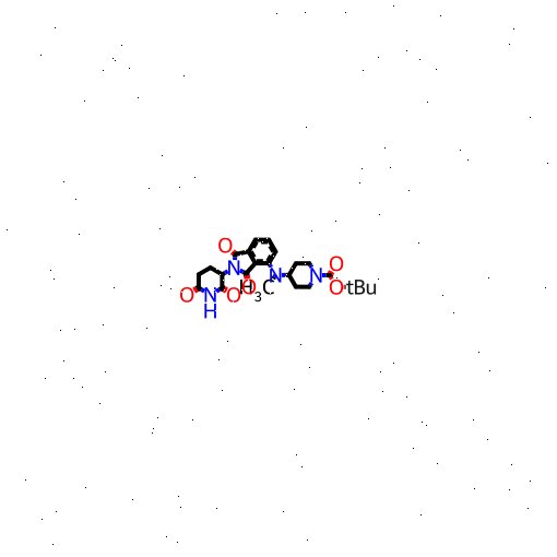 CN(c1cccc2c1C(=O)N(C1CCC(=O)NC1=O)C2=O)C1CCN(C(=O)OC(C)(C)C)CC1